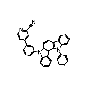 N#Cc1cc(-c2cccc(N3c4ccccc4C4c5c(c6ccccc6n5C5=CCCC=C5)C=CC43)c2)ccn1